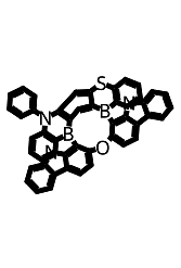 c1ccc(N2c3cc4c5cc3B3c6c2cccc6-n2c6ccccc6c6ccc(c3c62)Oc2ccc3c6ccccc6n6c3c2B5c2c(cccc2-6)S4)cc1